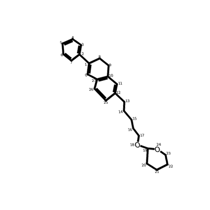 C1=C(c2ccccc2)CCc2cc(CCCCCOC3CCCCO3)ccc21